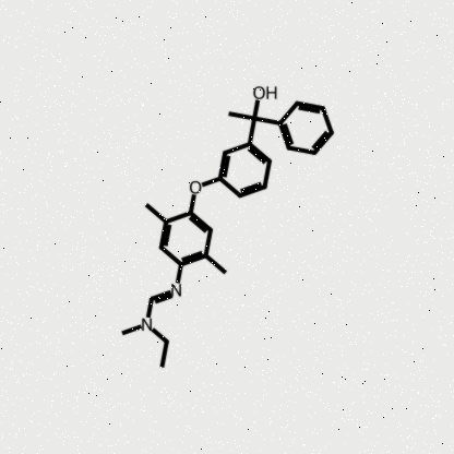 CCN(C)C=Nc1cc(C)c(Oc2cccc(C(C)(O)c3ccccc3)c2)cc1C